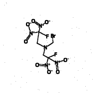 O=[N+]([O-])C(F)(CN(CBr)CC(F)([N+](=O)[O-])[N+](=O)[O-])[N+](=O)[O-]